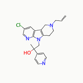 C=CCN1CCc2c(c3cc(Cl)cnc3n2CC(C)(O)c2ccncc2)C1